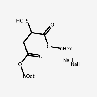 CCCCCCCCOC(=O)CC(C(=O)OCCCCCC)S(=O)(=O)O.[NaH].[NaH]